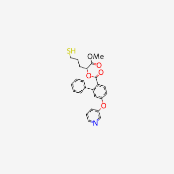 COC(=O)C(CCCS)OC(=O)c1ccc(Oc2cccnc2)cc1-c1ccccc1